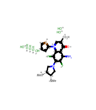 CN[C@H]1CN(c2c(F)c(N)c3c(=O)c(C(=O)O)cn(-c4cccs4)c3c2F)C[C@H]1OC.Cl.Cl.Cl.Cl.Cl.Cl.Cl